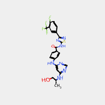 CC(CO)Nc1cc(Nc2ccc(C(=O)Nc3nc(-c4ccc(F)c(C(F)(F)F)c4)ns3)cc2)ncn1